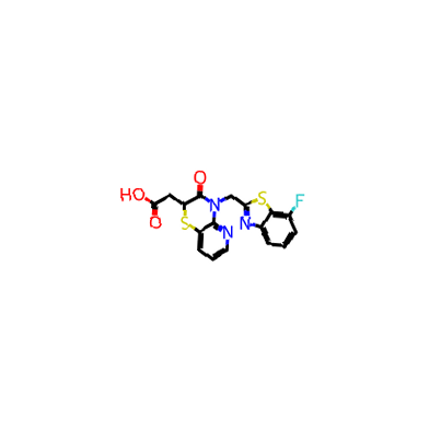 O=C(O)CC1Sc2cccnc2N(Cc2nc3cccc(F)c3s2)C1=O